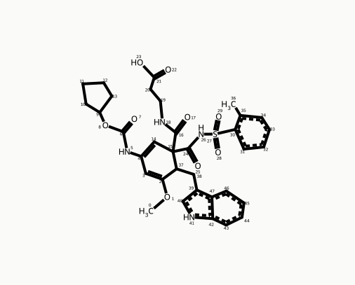 COC1=CC(NC(=O)OC2CCCC2)=CC(C(=O)NCCC(=O)O)(C(=O)NS(=O)(=O)c2ccccc2C)C1Cc1c[nH]c2ccccc12